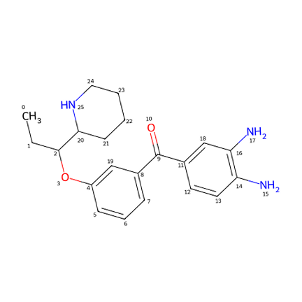 CCC(Oc1cccc(C(=O)c2ccc(N)c(N)c2)c1)C1CCCCN1